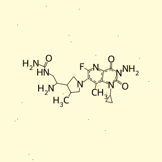 Cc1c(N2CC(C)C(C(N)CNC(N)=O)C2)c(F)nc2c(=O)n(N)c(=O)n(C3CC3)c12